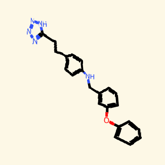 c1ccc(Oc2cccc(CNc3ccc(CCc4nnn[nH]4)cc3)c2)cc1